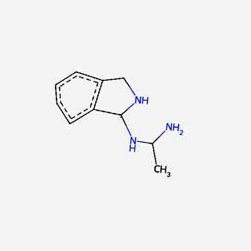 CC(N)N[C]1NCc2ccccc21